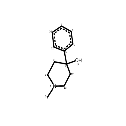 [CH2]N1CCC(O)(c2ccccc2)CC1